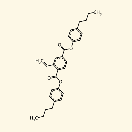 C=Cc1cc(C(=O)Oc2ccc(CCCC)cc2)ccc1C(=O)Oc1ccc(CCCC)cc1